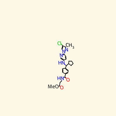 COC(=O)CCNC(=O)c1ccc(C(Nc2ccc(-n3cc(Cl)c(C)n3)nc2)C2CCCC2)cc1